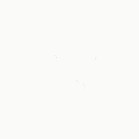 CN1C(=O)CCc2cc(C3=NNC(=O)CC3CO)ccc21